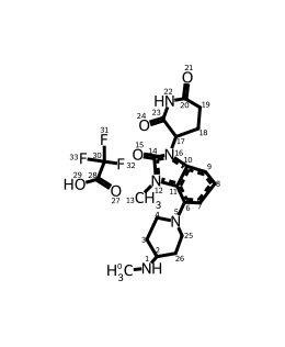 CNC1CCN(c2cccc3c2n(C)c(=O)n3C2CCC(=O)NC2=O)CC1.O=C(O)C(F)(F)F